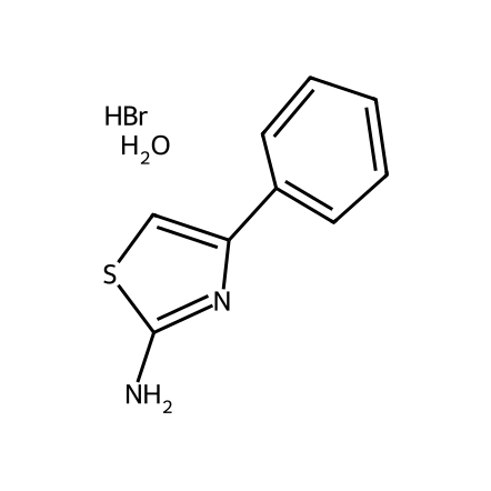 Br.Nc1nc(-c2ccccc2)cs1.O